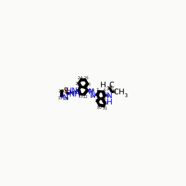 CCC(C)Nc1ccc(/N=N/c2ccc(NNc3nccs3)c3ccccc23)c2ccccc12